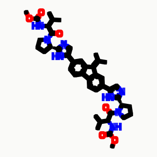 COC(=O)NC(C(=O)N1CCC[C@H]1c1ncc(-c2ccc3c(c2)C(=C(C)C)c2cc(-c4cnc([C@@H]5CCCN5C(=O)[C@@H](NC(=O)OC)C(C)C)[nH]4)ccc2-3)[nH]1)C(C)C